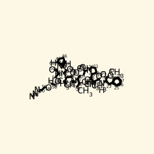 CC[C@H](C)[C@@H]([C@@H](CC(=O)N1CCCC1[C@H](OC)[C@@H](C)C(=O)NC(Cc1ccccc1)C(=O)OC)OC)N(C)C(=O)C(NC(=O)[C@@H]1[C@H]2CC[C@H](C2)N1C(=O)CCOCCOCCN=[N+]=[N-])C(C)C